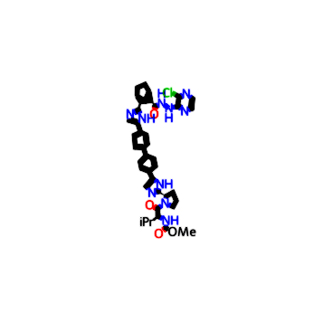 COC(=O)N[C@H](C(=O)N1CCC[C@H]1c1ncc(-c2ccc(-c3ccc(-c4cnc([C@H]5C6CCC(C6)[C@@H]5C(=O)NNc5nccnc5Cl)[nH]4)cc3)cc2)[nH]1)C(C)C